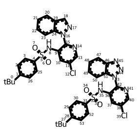 CC(C)(C)c1ccc(S(=O)(=O)Nc2cc(Cl)cnc2-n2ncc3ccccc32)cc1.CC(C)(C)c1ccc(S(=O)(=O)Nc2cc(Cl)cnc2-n2nnc3ccccc32)cc1